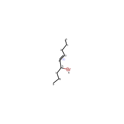 CCC/C=C/C(Br)CCC